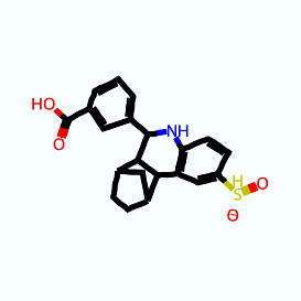 O=C(O)c1cccc(C2Nc3ccc([SH](=O)=O)cc3C3C4CCC(C4)C23)c1